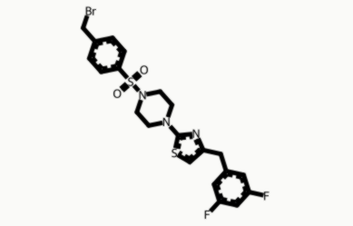 O=S(=O)(c1ccc(CBr)cc1)N1CCN(c2nc(Cc3cc(F)cc(F)c3)cs2)CC1